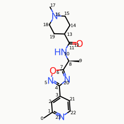 Cc1cc(-c2noc([C@H](C)NC(=O)C3CCN(C)CC3)n2)ccn1